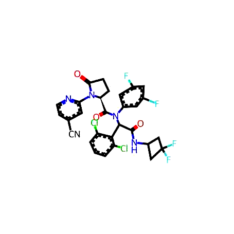 N#Cc1ccnc(N2C(=O)CC[C@H]2C(=O)N(c2cc(F)cc(F)c2)C(C(=O)NC2CC(F)(F)C2)c2c(Cl)cccc2Cl)c1